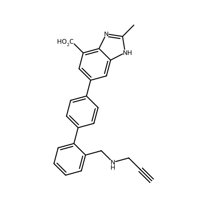 C#CCNCc1ccccc1-c1ccc(-c2cc(C(=O)O)c3nc(C)[nH]c3c2)cc1